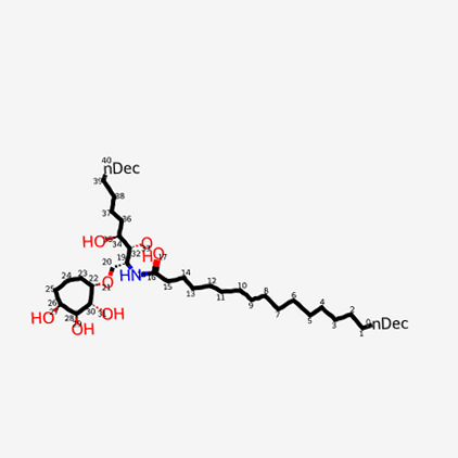 CCCCCCCCCCCCCCCCCCCCCCCCCC(=O)N[C@H](CO[C@H]1CCC[C@H](O)[C@H](O)[C@H]1O)[C@@H](O)[C@@H](O)CCCCCCCCCCCCCC